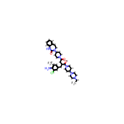 Nc1c(Cl)cc(CC(CC(=O)N2CCC(N3CCc4ccccc4NC3=O)CC2)C(=O)N2CCC(N3CCN(CC(F)(F)F)CC3)CC2)cc1C(F)(F)F